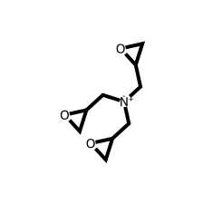 C1OC1C[N+](CC1CO1)CC1CO1